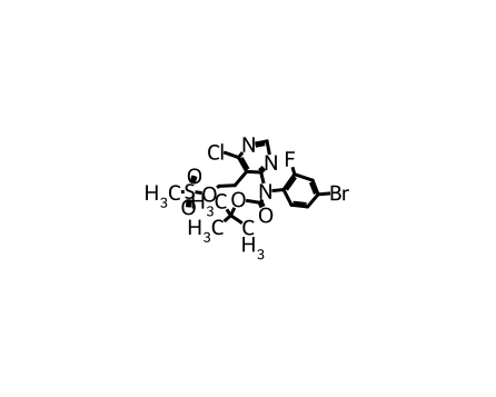 CC(C)(C)OC(=O)N(c1ccc(Br)cc1F)c1ncnc(Cl)c1CCOS(C)(=O)=O